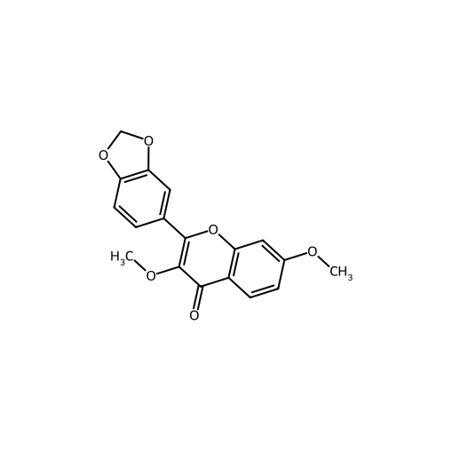 COc1ccc2c(=O)c(OC)c(-c3ccc4c(c3)OCO4)oc2c1